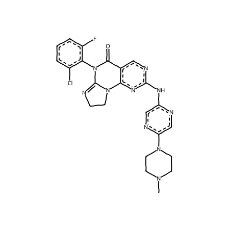 CN1CCN(c2cnc(Nc3ncc4c(n3)N3CCN=C3N(c3c(F)cccc3Cl)C4=O)cn2)CC1